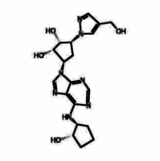 OCc1cnn([C@H]2C[C@@H](n3cnc4c(N[C@H]5CCC[C@@H]5O)ncnc43)[C@H](O)[C@@H]2O)c1